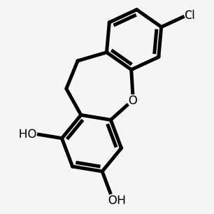 Oc1cc(O)c2c(c1)Oc1cc(Cl)ccc1CC2